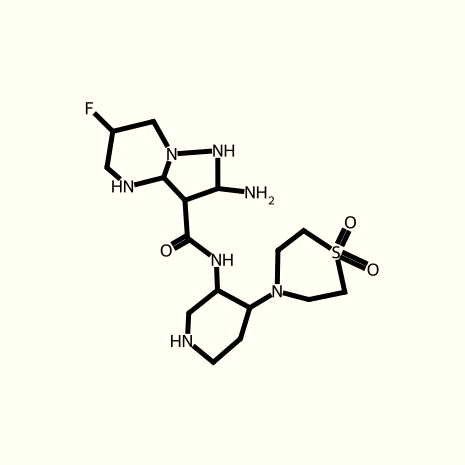 NC1NN2CC(F)CNC2C1C(=O)NC1CNCCC1N1CCS(=O)(=O)CC1